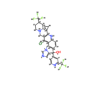 Cn1cncc1C(O)(c1ccnc(C(F)(F)F)c1)c1ccc2nc(C3CC3)c(CN3CCC(C(F)(F)F)CC3)c(Cl)c2c1